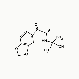 BC(B)(O)N[C@H](C)C(=O)c1ccc2c(c1)OCO2